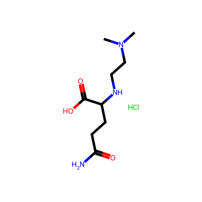 CN(C)CCNC(CCC(N)=O)C(=O)O.Cl